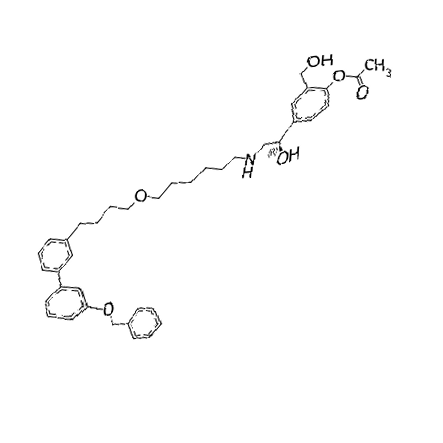 CC(=O)Oc1ccc([C@@H](O)CNCCCCCCOCCCCc2cccc(-c3cccc(OCc4ccccc4)c3)c2)cc1CO